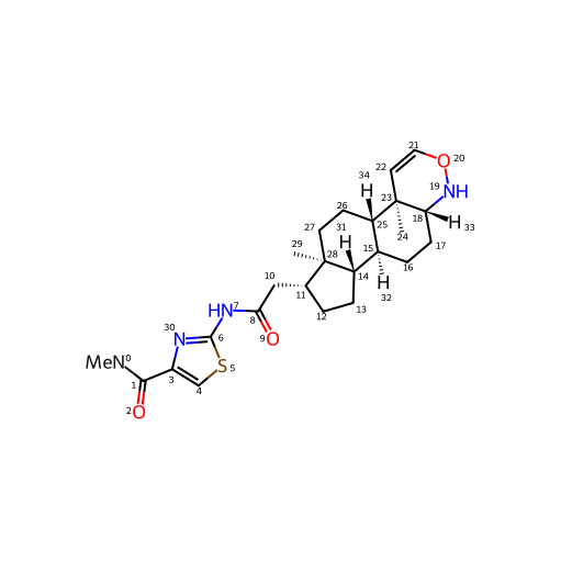 CNC(=O)c1csc(NC(=O)C[C@H]2CC[C@H]3[C@@H]4CC[C@H]5NOC=C[C@]5(C)[C@H]4CC[C@]23C)n1